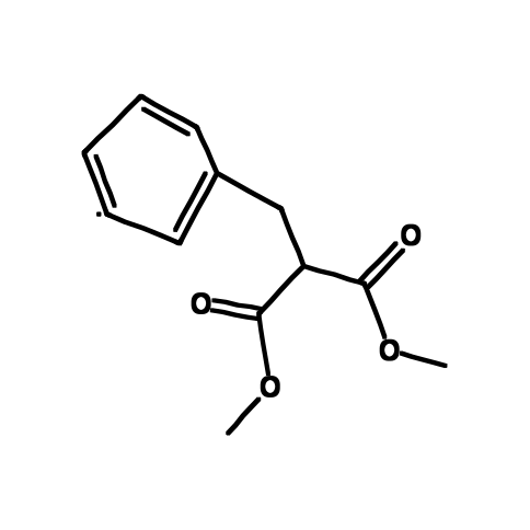 COC(=O)C(Cc1c[c]ccc1)C(=O)OC